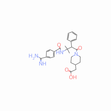 CC(C)(NC(=O)c1ccc(C(=N)N)cc1)C(C(=O)N1CCC(CC(=O)O)CC1)c1ccccc1